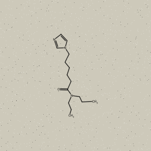 CCCN(CCC)C(=O)CCCCCn1c[c]nc1